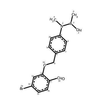 CB(O)N(C)c1ccc(COc2cc(Br)ccc2C=O)cc1